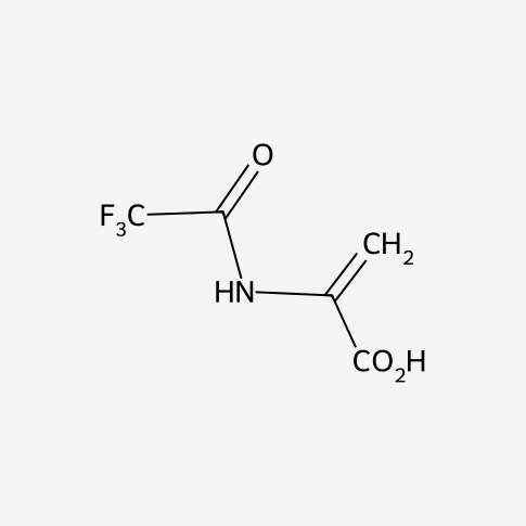 C=C(NC(=O)C(F)(F)F)C(=O)O